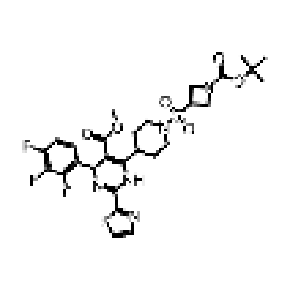 COC(=O)C1=C(C2CCN(S(=O)(=O)C3CN(C(=O)OC(C)(C)C)C3)CC2)NC(c2nccs2)=NC1c1ccc(F)c(F)c1Cl